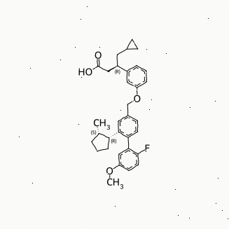 COc1ccc(F)c(-c2ccc(COc3cccc([C@@H](CC(=O)O)CC4CC4)c3)cc2[C@@H]2CCC[C@@H]2C)c1